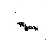 CN(C)C(=O)N1CCN(c2ccc(N3CCN(OC(=O)NC4[C@@H]5CC6C[C@H]4CC(O)(C6)C5)c4ccccc43)cc2)CC1